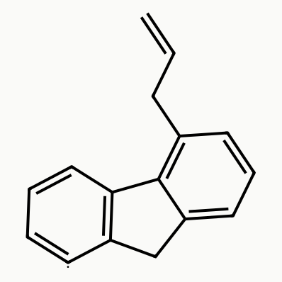 C=CCc1cccc2c1-c1ccc[c]c1C2